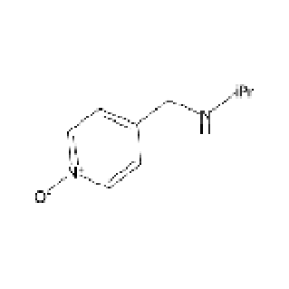 CC(C)NCc1cc[n+]([O-])cc1